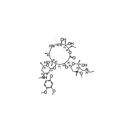 CCNC[C@]1(O)[C@H](C)O[C@@H](O[C@H]2[C@H](C)[C@@H](O[C@@H]3O[C@H](C)C[C@H](NC)[C@H]3Oc3ccc(OC)c(OC)c3)[C@](C)(O)C[C@@H](C)CN[C@H](C)[C@@H](O)[C@](C)(O)[C@@H](CC)OC(=O)[C@@H]2C)C[C@@]1(C)OC